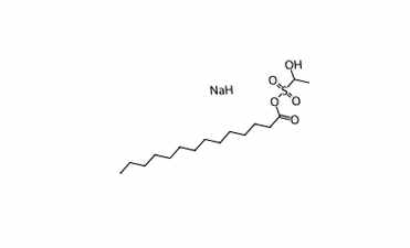 CCCCCCCCCCCCCC(=O)OS(=O)(=O)C(C)O.[NaH]